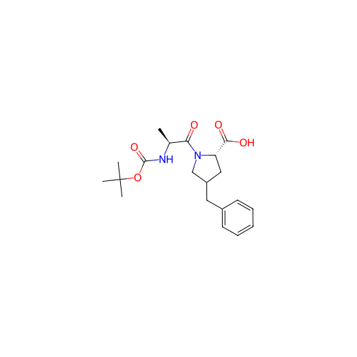 C[C@H](NC(=O)OC(C)(C)C)C(=O)N1CC(Cc2ccccc2)C[C@H]1C(=O)O